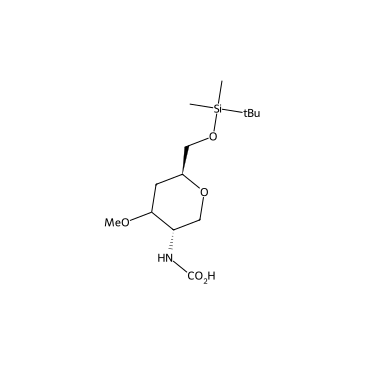 COC1C[C@@H](CO[Si](C)(C)C(C)(C)C)OC[C@@H]1NC(=O)O